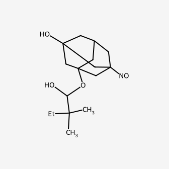 CCC(C)(C)C(O)OC12CC3CC(O)(CC(N=O)(C3)C1)C2